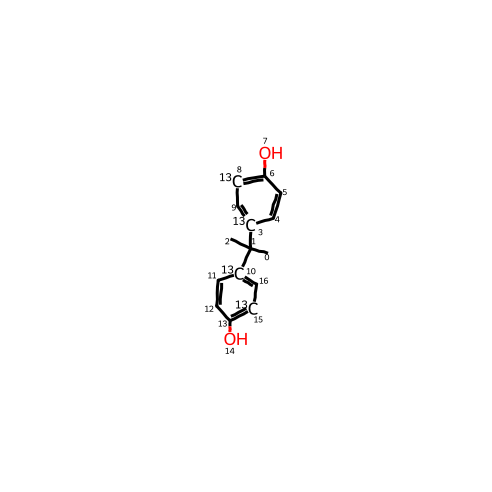 CC(C)([13c]1ccc(O)[13cH]c1)[13c]1ccc(O)[13cH]c1